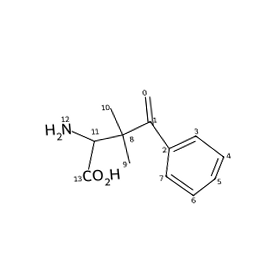 C=C(c1ccccc1)C(C)(C)C(N)C(=O)O